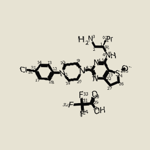 CC(C)[C@H](CN)Nc1nc(N2CCN(c3ccc(Cl)cc3)CC2)nc2c1[S+]([O-])CC2.O=C(O)C(F)(F)F